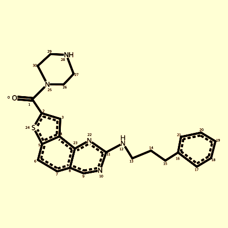 O=C(c1cc2c(ccc3cnc(NCCCc4ccccc4)nc32)s1)N1CCNCC1